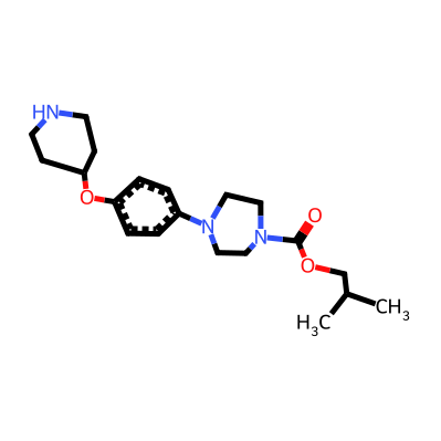 CC(C)COC(=O)N1CCN(c2ccc(OC3CCNCC3)cc2)CC1